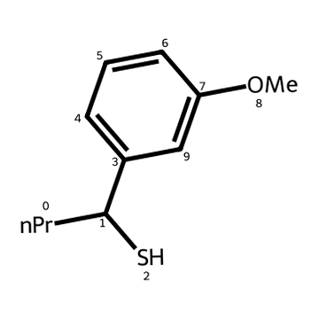 [CH2]CCC(S)c1cccc(OC)c1